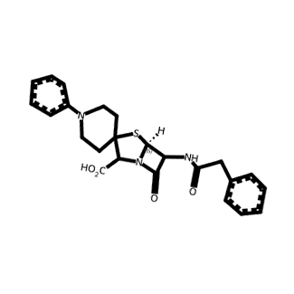 O=C(Cc1ccccc1)NC1C(=O)N2C(C(=O)O)C3(CCN(c4ccccc4)CC3)S[C@@H]12